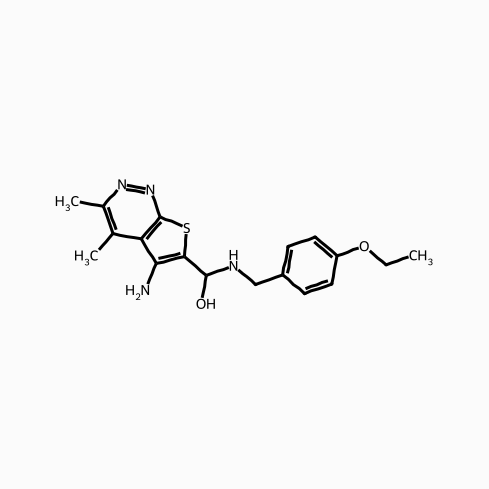 CCOc1ccc(CNC(O)c2sc3nnc(C)c(C)c3c2N)cc1